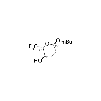 CCCCO[C@H]1CC[C@@H](O)[C@H](C(F)(F)F)O1